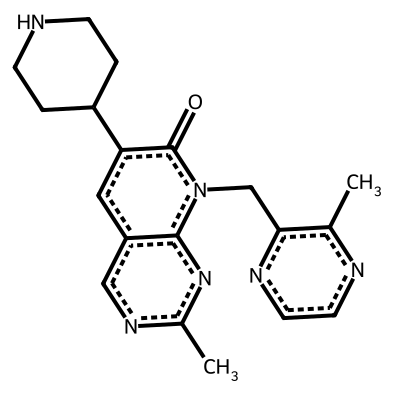 Cc1ncc2cc(C3CCNCC3)c(=O)n(Cc3nccnc3C)c2n1